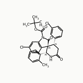 Cc1ccccc1[C@H]1NC(=O)C[C@@H](c2cccc(Cl)c2)[C@]12C(=O)N(C(=O)OC(C)(C)C)c1cc(Cl)ccc12